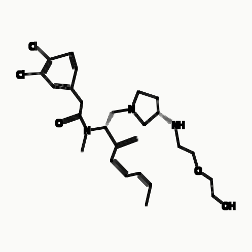 C=C(/C=C\C=C/C)[C@@H](CN1CC[C@H](NCCOCCO)C1)N(C)C(=O)Cc1ccc(Cl)c(Cl)c1